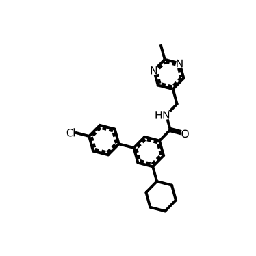 Cc1ncc(CNC(=O)c2cc(-c3ccc(Cl)cc3)cc(C3CCCCC3)c2)cn1